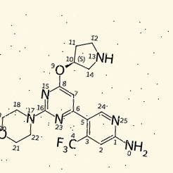 Nc1cc(C(F)(F)F)c(-c2cc(O[C@H]3CCNC3)nc(N3CCOCC3)n2)cn1